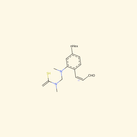 C=C(S)N(C)CN(C)c1cc(CCCCCC)ccc1/C=C\C=O